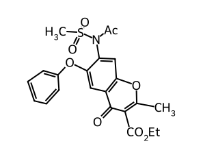 CCOC(=O)c1c(C)oc2cc(N(C(C)=O)S(C)(=O)=O)c(Oc3ccccc3)cc2c1=O